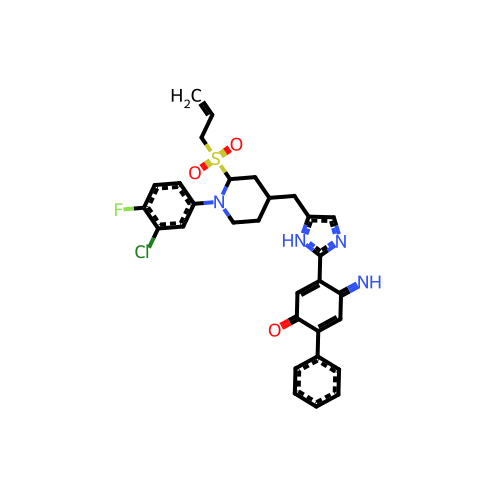 C=CCS(=O)(=O)C1CC(Cc2cnc(C3=CC(=O)C(c4ccccc4)=CC3=N)[nH]2)CCN1c1ccc(F)c(Cl)c1